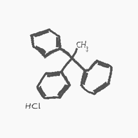 CC(c1ccccc1)(c1ccccc1)c1ccccc1.Cl